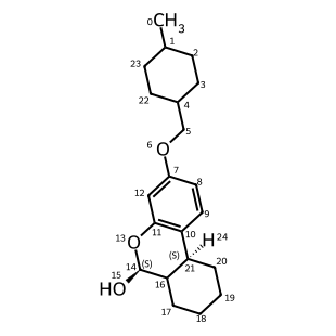 CC1CCC(COc2ccc3c(c2)O[C@H](O)C2CCCC[C@H]32)CC1